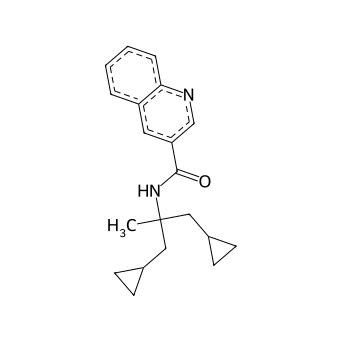 CC(CC1CC1)(CC1CC1)NC(=O)c1cnc2ccccc2c1